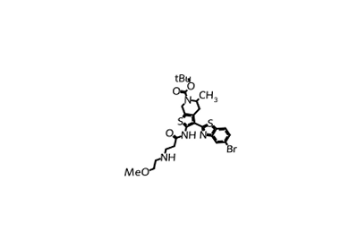 COCCNCCC(=O)Nc1sc2c(c1-c1nc3cc(Br)ccc3s1)CC(C)N(C(=O)OC(C)(C)C)C2